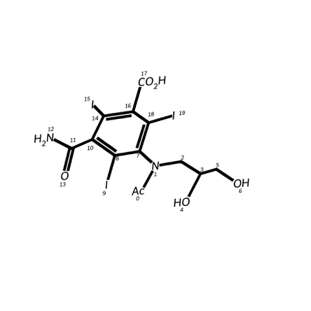 CC(=O)N(CC(O)CO)c1c(I)c(C(N)=O)c(I)c(C(=O)O)c1I